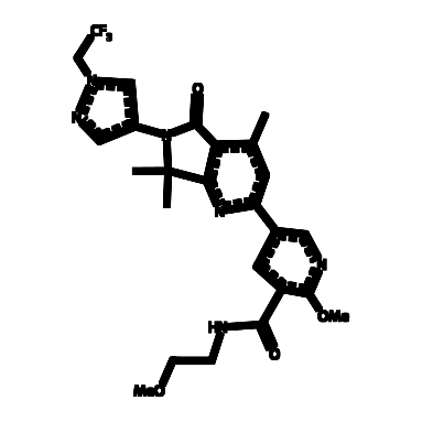 COCCNC(=O)c1cc(-c2cc(C)c3c(n2)C(C)(C)N(c2cnn(CC(F)(F)F)c2)C3=O)cnc1OC